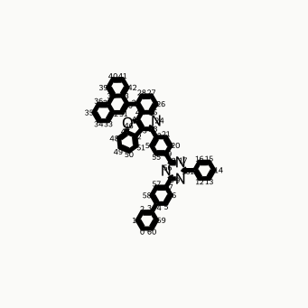 c1ccc(-c2ccc(-c3nc(-c4ccccc4)nc(-c4ccc(-c5nc6cccc(-c7cc8ccccc8c8ccccc78)c6c6oc7ccccc7c56)cc4)n3)cc2)cc1